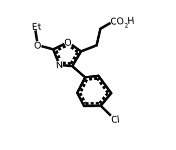 CCOc1nc(-c2ccc(Cl)cc2)c(CCC(=O)O)o1